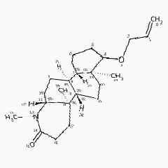 C=CCOC1CC[C@H]2[C@@H]3CC[C@H]4N(C)C(=O)CC[C@]4(C)[C@H]3CC[C@]12C